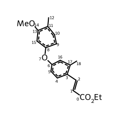 CCOC(=O)/C=C/c1ccc(Oc2ccc(C)c(OC)c2)cc1C